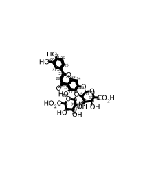 O=C(O)C1O[C@@H](OC2C(O)[C@H](O)C(C(=O)O)O[C@H]2Oc2cc(O)c3c(=O)cc(-c4ccc(O)c(O)c4)oc3c2)C(O)C(O)[C@@H]1O